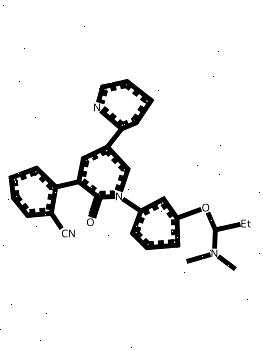 CCC(Oc1cccc(-n2cc(-c3ccccn3)cc(-c3ccccc3C#N)c2=O)c1)N(C)C